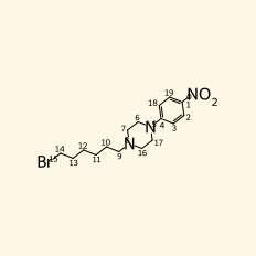 O=[N+]([O-])c1ccc(N2CCN(CCCCCCBr)CC2)cc1